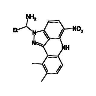 CCC(N)n1nc2c3c(c([N+](=O)[O-])ccc31)Nc1ccc(C)c(C)c1-2